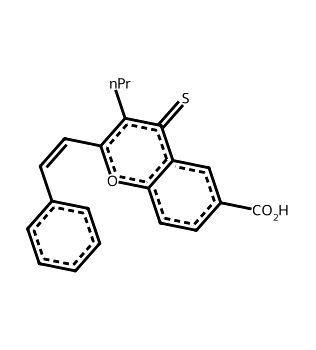 CCCc1c(/C=C\c2ccccc2)oc2ccc(C(=O)O)cc2c1=S